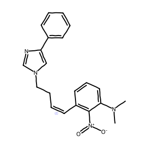 CN(C)c1cccc(/C=C\CCn2cnc(-c3ccccc3)c2)c1[N+](=O)[O-]